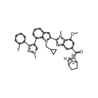 COc1cc(C(=O)N2CC3CCC2[C@@H]3N)cc2nc(-c3cc4cccc(-c5cn(C)nc5-c5ccccc5F)c4n3CC3CC3)n(C)c12